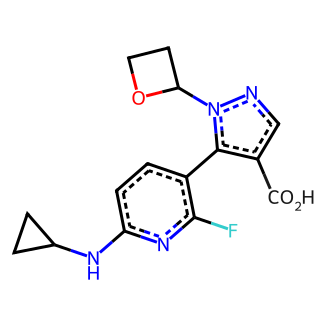 O=C(O)c1cnn(C2CCO2)c1-c1ccc(NC2CC2)nc1F